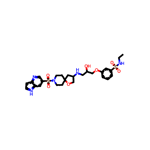 CCNS(=O)(=O)c1cccc(OCC(O)CNC2COC3(CCN(S(=O)(=O)c4cnc5cc[nH]c5c4)CC3)C2)c1